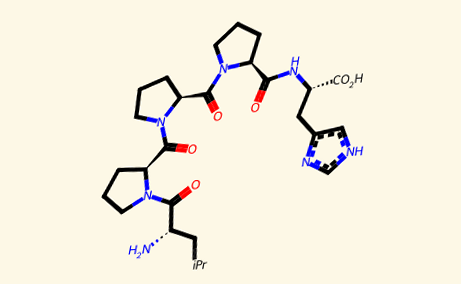 CC(C)C[C@H](N)C(=O)N1CCC[C@H]1C(=O)N1CCC[C@H]1C(=O)N1CCC[C@H]1C(=O)N[C@@H](Cc1c[nH]cn1)C(=O)O